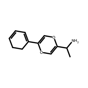 CC(N)C1=COC(C2=CC=CCC2)=CO1